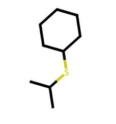 CC(C)SC1CCCCC1